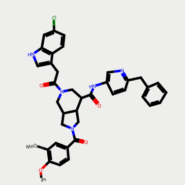 COc1cc(C(=O)N2CC3CN(C(=O)Cc4c[nH]c5cc(Cl)ccc45)CC(C(=O)Nc4ccc(Cc5ccccc5)nc4)C3C2)ccc1OC(C)C